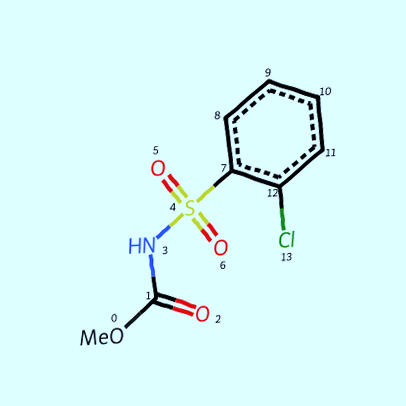 COC(=O)NS(=O)(=O)c1ccccc1Cl